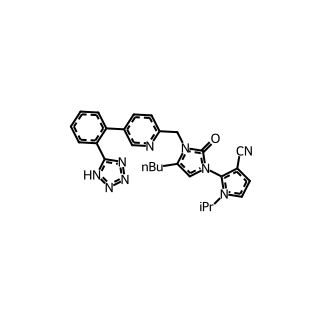 CCCCc1cn(-c2c(C#N)ccn2C(C)C)c(=O)n1Cc1ccc(-c2ccccc2-c2nnn[nH]2)cn1